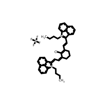 CCCCn1/c(=C\C=C2\CCCC(/C=C/C3=[N+](CCCC)c4cccc5cccc3c45)=C2Cl)c2cccc3cccc1c32.F[B-](F)(F)F